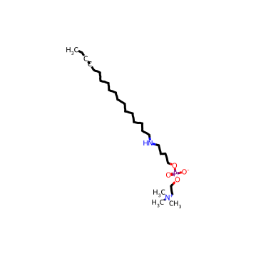 CCCCCCCCCCCCCCCCCCNCCCCOP(=O)([O-])OCC[N+](C)(C)C